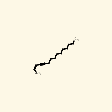 C/C=C\C#CCCCCCCCCCOC(C)=O